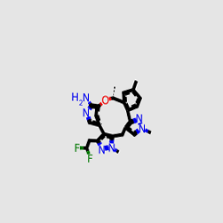 Cc1ccc2c(c1)[C@@H](C)Oc1cc(cnc1N)-c1c(CC(F)F)nn(C)c1Cc1cn(C)nc1-2